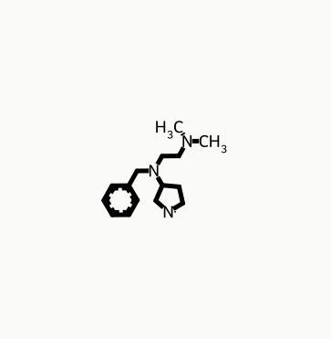 CN(C)CCN(Cc1ccccc1)C1CC[N]C1